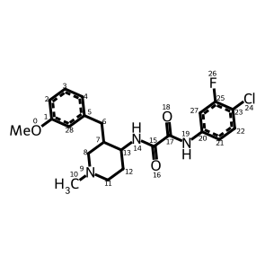 COc1cccc(CC2CN(C)CCC2NC(=O)C(=O)Nc2ccc(Cl)c(F)c2)c1